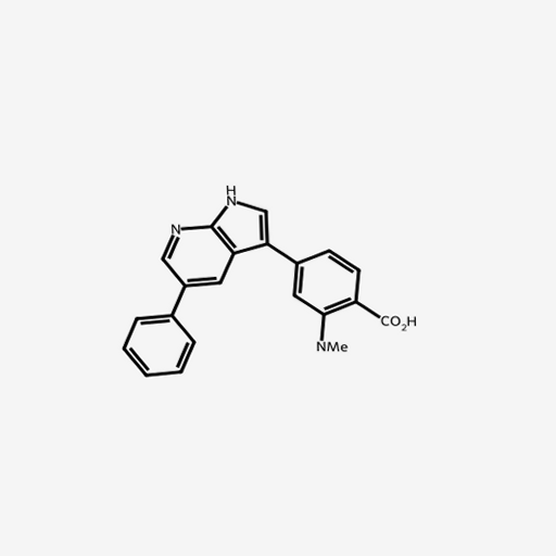 CNc1cc(-c2c[nH]c3ncc(-c4ccccc4)cc23)ccc1C(=O)O